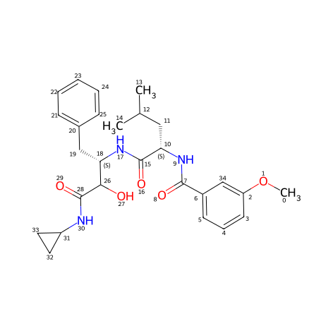 COc1cccc(C(=O)N[C@@H](CC(C)C)C(=O)N[C@@H](Cc2ccccc2)C(O)C(=O)NC2CC2)c1